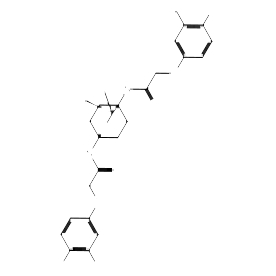 O=C(COc1ccc(F)c(Cl)c1)NC12CCC(NC(=O)COc3ccc(Cl)c(Cl)c3)(CC1)[C@@H](O)C2